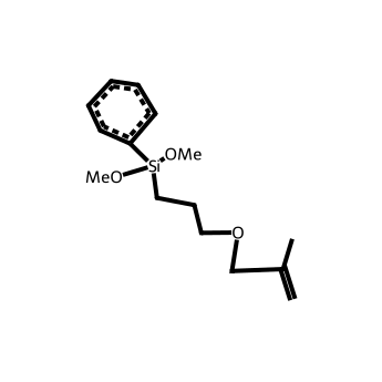 C=C(C)COCCC[Si](OC)(OC)c1ccccc1